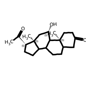 CC(=O)[C@H]1CCC2C3CCC4CC(=O)CC[C@]4(C)C3[C@@H](O)C[C@@]21C